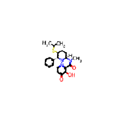 CC(C)S[C@H]1CC[C@H]2N(C)C(=O)c3c(O)c(=O)ccn3N2[C@@H]1c1ccccc1